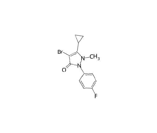 Cn1c(C2CC2)c(Br)c(=O)n1-c1ccc(F)cc1